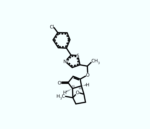 CC(OC1=CC(=O)[C@H]2[C@@H]1C1CCC2(C)O1)c1cnc(-c2ccc(Cl)cc2)s1